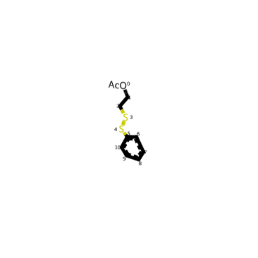 CC(=O)OCCSSc1ccccc1